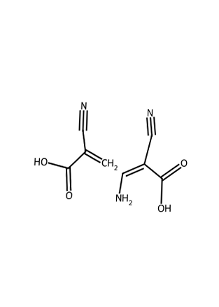 C=C(C#N)C(=O)O.N#CC(=CN)C(=O)O